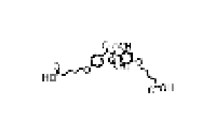 COC(OC)(C(=O)c1ccc(OCCCCC(=O)O)cc1)c1ccc(OCCCCC(=O)O)cc1